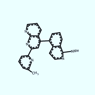 CNc1nccc2c(-c3cc(-c4cccc(C)n4)nc4ncccc34)cccc12